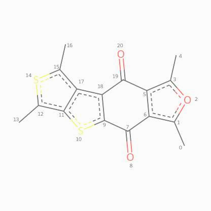 Cc1oc(C)c2c1C(=O)c1sc3c(C)sc(C)c3c1C2=O